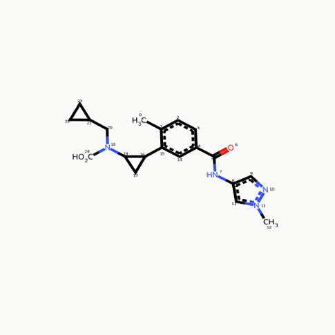 Cc1ccc(C(=O)Nc2cnn(C)c2)cc1C1CC1N(CC1CC1)C(=O)O